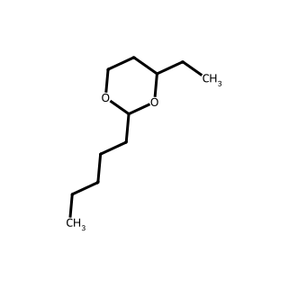 CCCCCC1OCCC(CC)O1